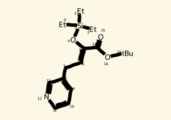 CC[Si](CC)(CC)OC(=CCc1cccnc1)C(=O)OC(C)(C)C